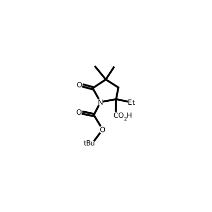 CCC1(C(=O)O)CC(C)(C)C(=O)N1C(=O)OC(C)(C)C